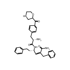 NC(=O)C(=C[C@H](CCc1ccccc1)NC(=O)[C@@H](N)Cc1ccc(C(=O)C2CNCCO2)cc1)Cc1ccccc1